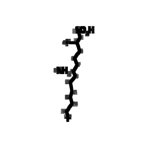 N.O=S(=O)(O)CC(F)CCCCCCCCCCF